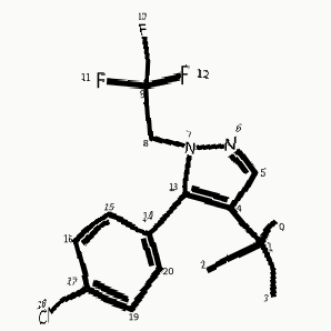 CC(C)(C)c1cnn(CC(F)(F)F)c1-c1ccc(Cl)cc1